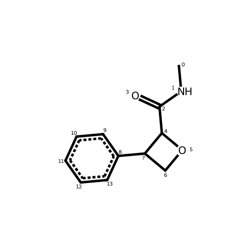 CNC(=O)C1OCC1c1ccccc1